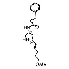 COCCCC=C[C@@H]1C[C@@H](NC(=O)OCc2ccccc2)CN1